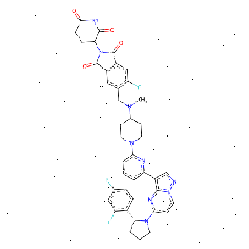 CN(Cc1cc2c(cc1F)C(=O)N(C1CCC(=O)NC1=O)C2=O)C1CCN(c2cccc(-c3cnn4ccc(N5CCC[C@@H]5c5ccc(F)cc5F)nc34)n2)CC1